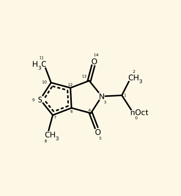 CCCCCCCCC(C)N1C(=O)c2c(C)sc(C)c2C1=O